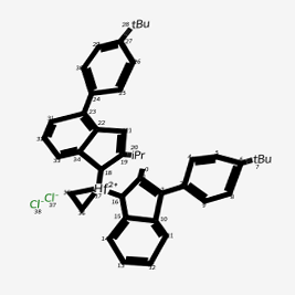 CC1=C(c2ccc(C(C)(C)C)cc2)c2ccccc2[CH]1[Hf+2]1([CH]2C(C(C)C)=Cc3c(-c4ccc(C(C)(C)C)cc4)cccc32)[CH2][CH2]1.[Cl-].[Cl-]